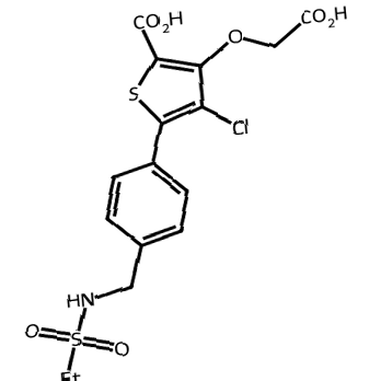 CCS(=O)(=O)NCc1ccc(-c2sc(C(=O)O)c(OCC(=O)O)c2Cl)cc1